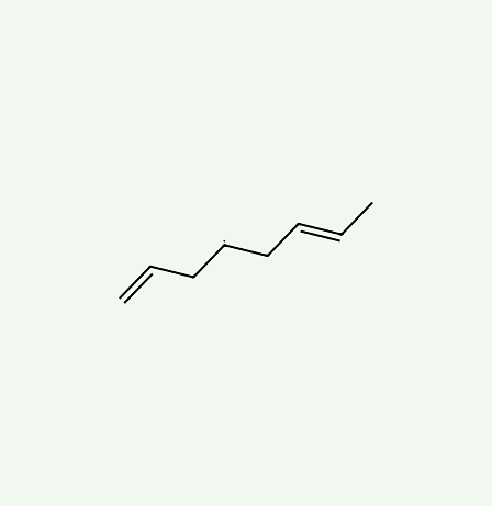 C=CC[CH]C/C=C/C